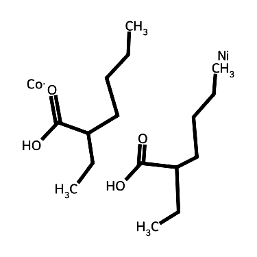 CCCCC(CC)C(=O)O.CCCCC(CC)C(=O)O.[Co].[Ni]